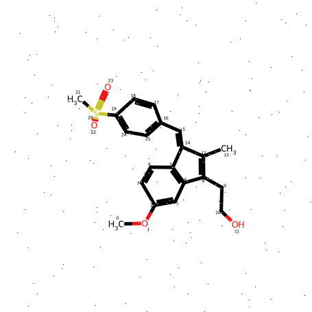 COc1ccc2c(c1)C(CCO)=C(C)/C2=C/c1ccc(S(C)(=O)=O)cc1